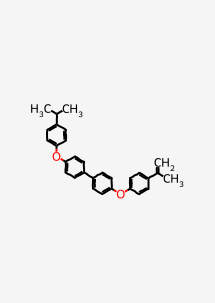 C=C(C)c1ccc(Oc2ccc(-c3ccc(Oc4ccc(C(C)C)cc4)cc3)cc2)cc1